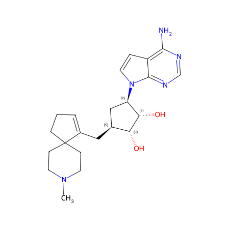 CN1CCC2(CCC=C2C[C@H]2C[C@@H](n3ccc4c(N)ncnc43)[C@H](O)[C@@H]2O)CC1